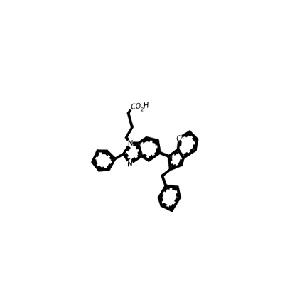 O=C(O)CCCn1c(-c2ccccc2)nc2cc(-c3c(Cc4ccccc4)cc4cccoc3-4)ccc21